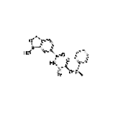 CC(C)[C@H](NC(=O)c1ccc2c(c1)B(O)OC2)C(=O)O[C@H](C)c1ccccc1